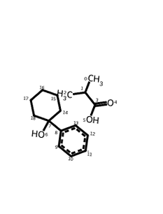 CC(C)C(=O)O.OC1(c2cc[c]cc2)CCCCC1